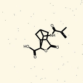 C=C(C)C(=O)NC1C2CC3C(=O)OC1(C(=O)O)C3C2